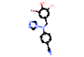 Bc1cc(CN(c2ccc(C#N)cc2)n2cnnc2)cc(Br)c1O